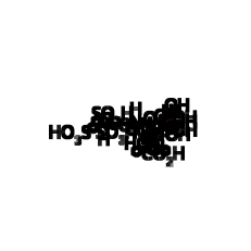 CC1OC(OC2C(NC(=O)c3cc(O)nc(O)n3)CC(C(=O)NCCNC(=O)COCCOCC(=O)Nc3cc(S(=O)(=O)O)cc4cc(S(=O)(=O)O)cc(S(=O)(=O)O)c34)CC2OC2OC(CO)C(O)C(O[C@@H](CC3CCCCC3)C(=O)O)C2OC(=O)c2ccccc2)C(O)C(O)C1O